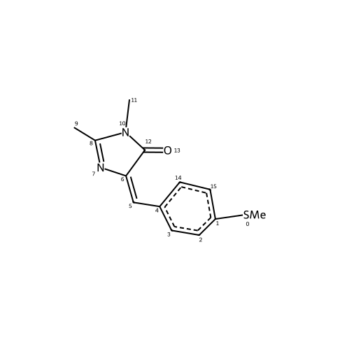 CSc1ccc(C=C2N=C(C)N(C)C2=O)cc1